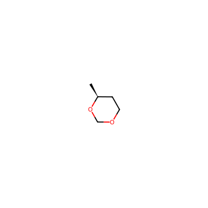 C[C@H]1CCOCO1